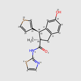 C[C@@]1(C(=O)Nc2nccs2)Cc2ccc(O)cc2[C@@H]1c1ccsc1